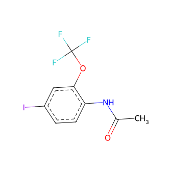 CC(=O)Nc1ccc(I)cc1OC(F)(F)F